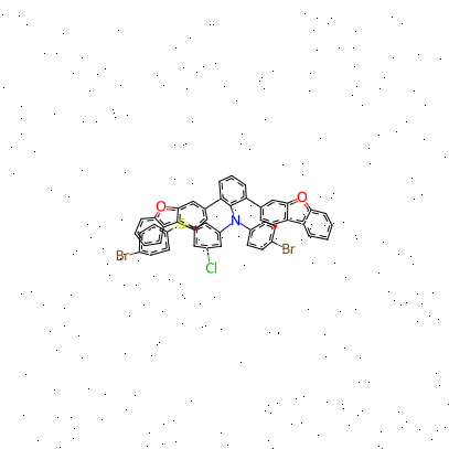 Clc1cc(Sc2ccc(Br)cc2)cc(N(c2ccc(Br)cc2)c2c(-c3ccc4c(c3)oc3ccccc34)cccc2-c2ccc3c(c2)oc2ccccc23)c1